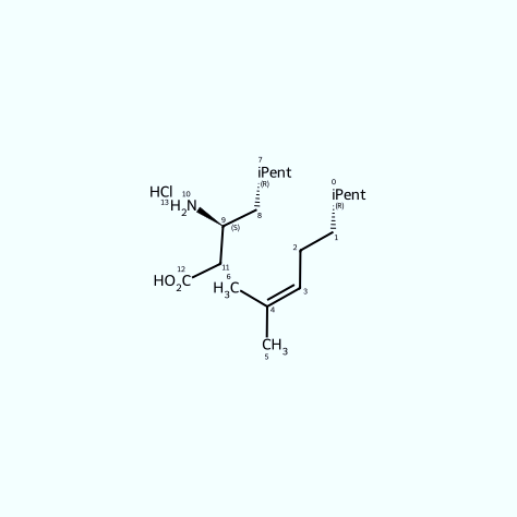 CCC[C@@H](C)CCC=C(C)C.CCC[C@@H](C)C[C@H](N)CC(=O)O.Cl